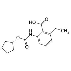 CCc1cccc(NC(=O)OC2CCCC2)c1C(=O)O